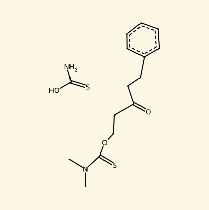 CN(C)C(=S)OCCC(=O)CCc1ccccc1.NC(O)=S